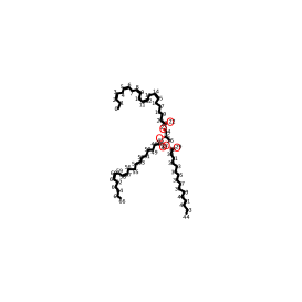 CC/C=C\C/C=C\C/C=C\C/C=C\C/C=C\CCCCCC(=O)OC[C@@H](COC(=O)CCCCCCCCCCCCCCC)OC(=O)CCCCCCCCC/C=C\C/C=C\CCCCC